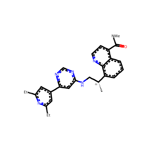 CCc1cc(-c2cc(NC[C@@H](C)c3cccc4c(C(=O)NC)ccnc34)ncn2)cc(CC)n1